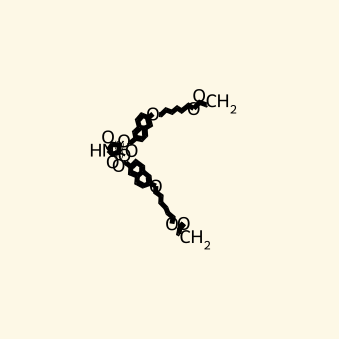 C=CC(=O)OCCCCCCOc1ccc2cc(C(=O)O[C@H]3C(=O)NC(=O)[C@@H]3OC(=O)c3ccc4cc(OCCCCCCOC(=O)C=C)ccc4c3)ccc2c1